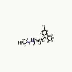 CC/C(C=N)=C\C=C(/C)NC(=O)OCC1c2ccccc2-c2cc(C)ccc21